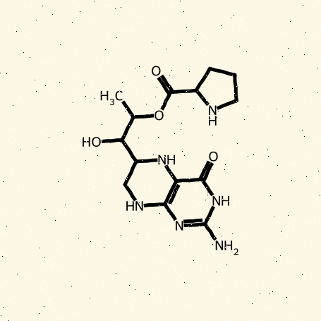 CC(OC(=O)C1CCCN1)C(O)C1CNc2nc(N)[nH]c(=O)c2N1